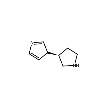 C1=CC([C@H]2CCNC2)C=N1